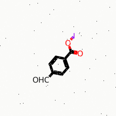 O=Cc1ccc(C(=O)OI)cc1